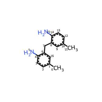 Cc1ccc(N)c(Cc2cc(C)ccc2N)c1